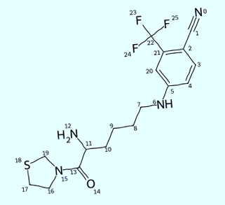 N#Cc1ccc(NCCCCC(N)C(=O)N2CCSC2)cc1C(F)(F)F